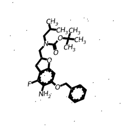 CC(C)CN(CC1Cc2c(cc(OCc3ccccc3)c(N)c2F)O1)C(=O)OC(C)(C)C